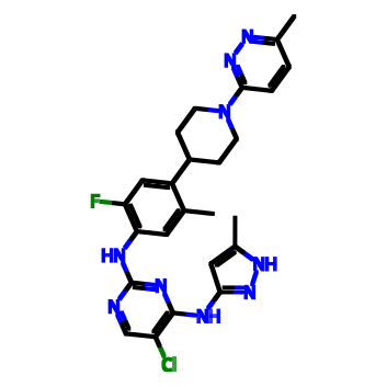 Cc1ccc(N2CCC(c3cc(F)c(Nc4ncc(Cl)c(Nc5cc(C)[nH]n5)n4)cc3C)CC2)nn1